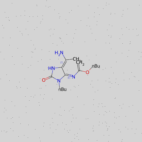 C=C(/N=C1\C(=C(/C)N)NC(=O)N1CCCC)OCCCC